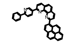 c1ccc(-c2ccc(-c3ccc4ccc5ccc(-c6ccc7ccc8cccc9ccc6c7c89)nc5c4n3)cn2)cc1